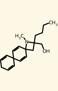 CCCCC1(CO)CC2(C=CC3(C=CCC=C3)C=C2)N1C